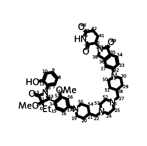 CC[C@]1(OC)C(=O)N(c2ccccc2O)[C@H]1c1ccc(N2CCC(CN3CCN(CC4CCN(c5ccc6c(c5)CN(C5CCC(=O)NC5=O)C6=O)CC4)CC3)CC2)cc1OC